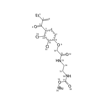 C=C(CC)C(=O)c1ccc(OCC(=O)NCCNC(=O)OC(C)(C)C)c(Cl)c1Cl